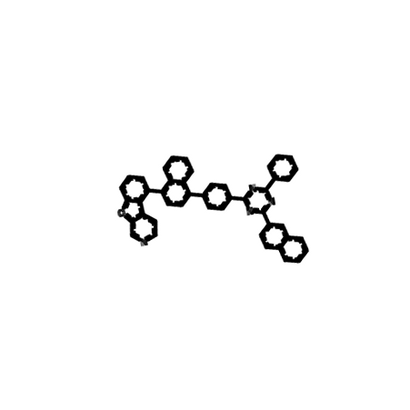 c1ccc(-c2nc(-c3ccc(-c4ccc(-c5cccc6oc7cnccc7c56)c5ccccc45)cc3)nc(-c3ccc4ccccc4c3)n2)cc1